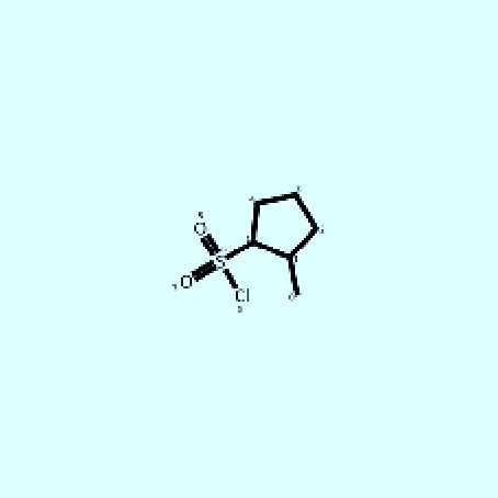 CC1CCCC1S(=O)(=O)Cl